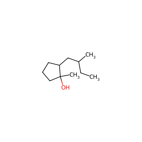 CCC(C)CC1CCCC1(C)O